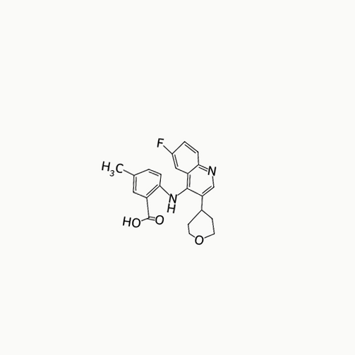 Cc1ccc(Nc2c(C3CCOCC3)cnc3ccc(F)cc23)c(C(=O)O)c1